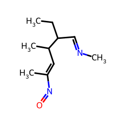 CCC(/C=N/C)C(C)/C=C(\C)N=O